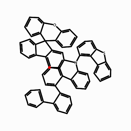 c1ccc(-c2ccccc2-c2ccccc2-c2ccccc2N(c2ccc3c(c2)C2(c4ccccc4Oc4ccccc42)c2ccccc2-3)c2cccc3sc4ccccc4c23)cc1